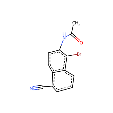 CC(=O)Nc1ccc2c(C#N)cccc2c1Br